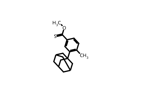 COC(=S)c1ccc(C)c(C23CC4CC(CC(C4)C2)C3)c1